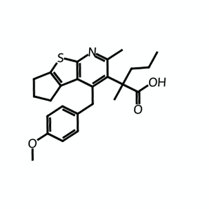 CCCC(C)(C(=O)O)c1c(C)nc2sc3c(c2c1Cc1ccc(OC)cc1)CCC3